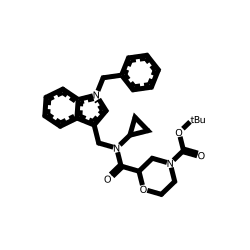 CC(C)(C)OC(=O)N1CCOC(C(=O)N(Cc2cn(Cc3ccccc3)c3ccccc23)C2CC2)C1